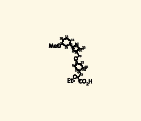 CCOC(Cc1ccc(OCc2sc(-c3cccc(OC)c3)nc2C)cc1C)C(=O)O